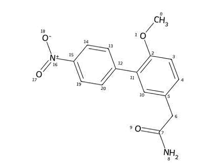 COc1ccc(CC(N)=O)cc1-c1ccc([N+](=O)[O-])cc1